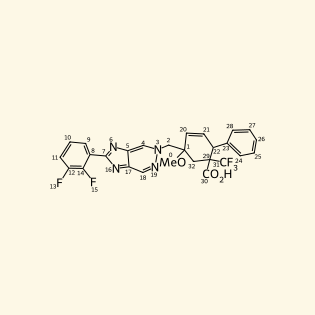 COC1(Cn2cc3nc(-c4cccc(F)c4F)nc-3cn2)C=CC(c2ccccc2)C(C(=O)O)(C(F)(F)F)C1